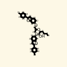 CCCCC(CO)OC(COc1ccc2cc(-c3ccc(C)cc3)oc2c1)COc1ccc2cc(-c3ccc(C)cc3)oc2c1